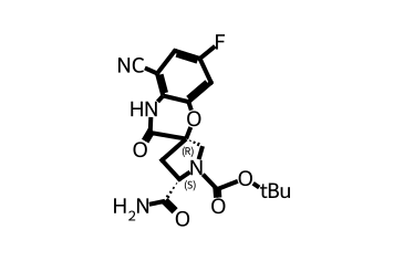 CC(C)(C)OC(=O)N1C[C@@]2(C[C@H]1C(N)=O)Oc1cc(F)cc(C#N)c1NC2=O